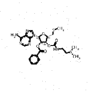 CSC[C@H]1O[C@@H](n2cnc3c(N)ncnc32)[C@H](OC(=O)c2ccccc2)[C@@H]1OC(=O)NCCN(C)C